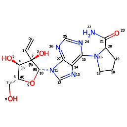 C=C[C@@]1(O)[C@H](O)[C@@H](CO)O[C@H]1n1cnc2c(N3CCCC3C(N)=O)ncnc21